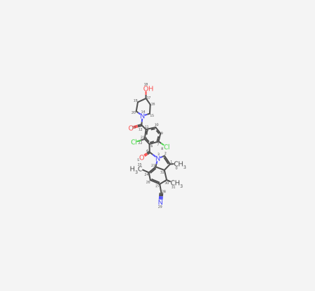 CC1=CN(C(=O)c2c(Cl)ccc(C(=O)N3CCC(O)CC3)c2Cl)C2=C(C)C=C(C#N)C(C)C12